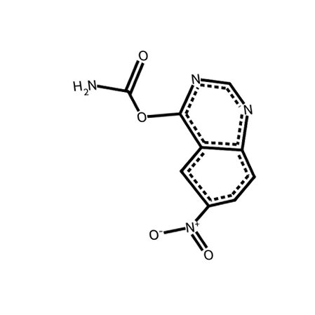 NC(=O)Oc1ncnc2ccc([N+](=O)[O-])cc12